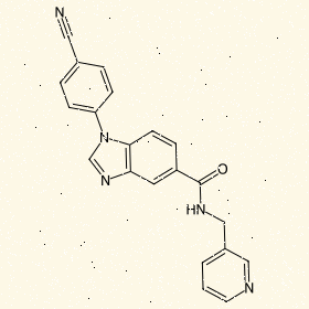 N#Cc1ccc(-n2cnc3cc(C(=O)NCc4cccnc4)ccc32)cc1